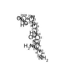 CC1(N)CCN(c2cnc(Sc3cccc(NCC4CCN(c5cncc(C6CCC(=O)NC6=O)c5)CC4)c3Cl)c(N)n2)CC1